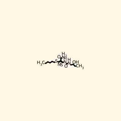 CCCCCCSc1nsc(NC(=O)NCC(O)CC)c1C(N)=O